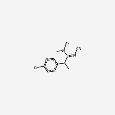 CCN(C)/S(=N\C#N)C(C)c1ccc(Cl)nc1